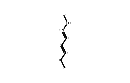 [CH2]CC=CC=NOC